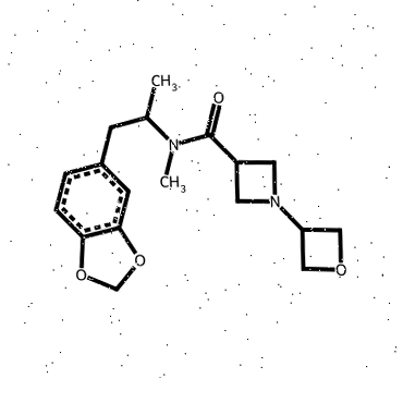 CC(Cc1ccc2c(c1)OCO2)N(C)C(=O)C1CN(C2COC2)C1